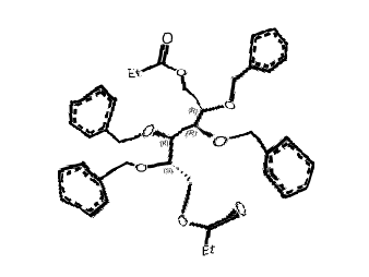 CCC(=O)OC[C@H](OCc1ccccc1)[C@@H](OCc1ccccc1)[C@H](OCc1ccccc1)[C@@H](COC(=O)CC)OCc1ccccc1